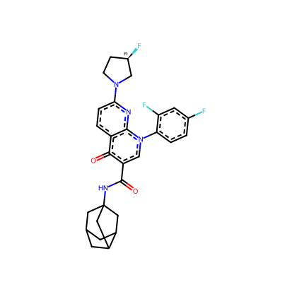 O=C(NC12CC3CC(C1)C(C3)C2)c1cn(-c2ccc(F)cc2F)c2nc(N3CC[C@@H](F)C3)ccc2c1=O